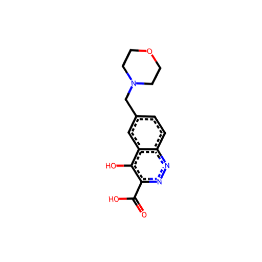 O=C(O)c1nnc2ccc(CN3CCOCC3)cc2c1O